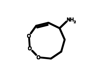 NC1C=COOOCCC1